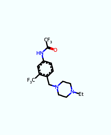 CCN1CCN(Cc2ccc(NC(=O)C(F)(F)F)cc2C(F)(F)F)CC1